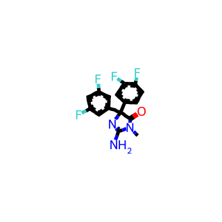 CN1C(=O)C(c2cc(F)cc(F)c2)(c2ccc(F)c(F)c2)N=C1N